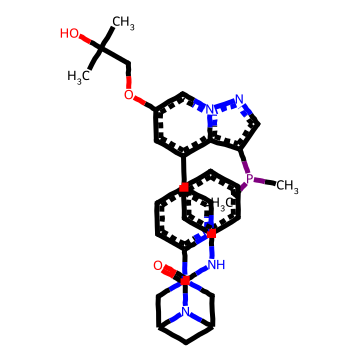 CP(C)c1cnn2cc(OCC(C)(C)O)cc(-c3ccc(N4CC5CC(C4)N5C(=O)Nc4ccccc4)nc3)c12